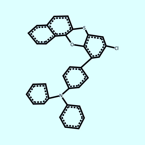 Clc1cc2c(c(-c3ccc(N(c4ccccc4)c4ccccc4)cc3)c1)Oc1c(ccc3ccccc13)S2